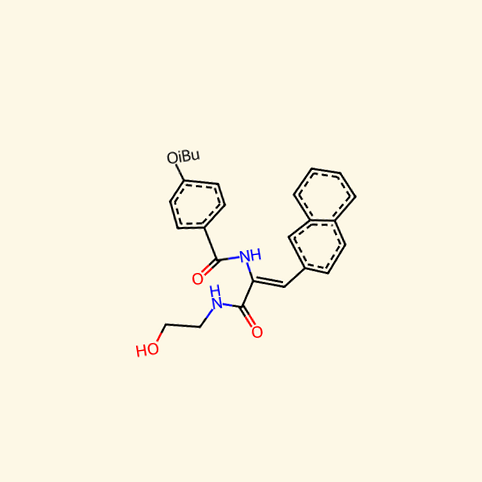 CC(C)COc1ccc(C(=O)NC(=Cc2ccc3ccccc3c2)C(=O)NCCO)cc1